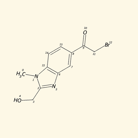 Cn1c(CO)nc2cc(C(=O)CBr)ccc21